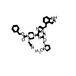 CN1CCC[C@H]1COc1nc(N2CCN(C(=O)OCc3ccccc3)[C@@H](CC#N)C2)c2ncc(Cc3cccc4[nH]ncc34)n2n1